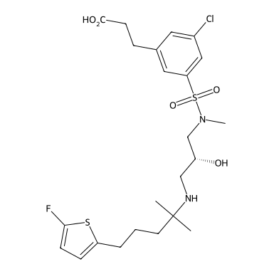 CN(C[C@H](O)CNC(C)(C)CCCc1ccc(F)s1)S(=O)(=O)c1cc(Cl)cc(CCC(=O)O)c1